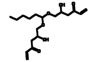 C=CC(=O)CC(O)COC(CCCCC)OCC(O)CC(=O)C=C